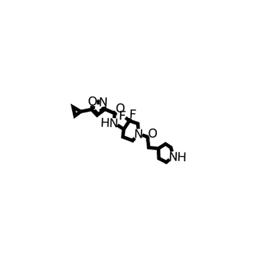 O=C(NC1CCN(C(=O)CC2CCNCC2)CC1(F)F)c1cc(C2CC2)on1